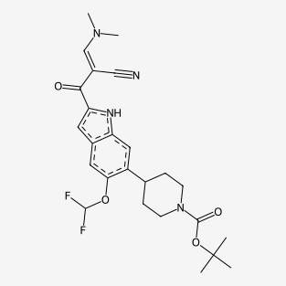 CN(C)C=C(C#N)C(=O)c1cc2cc(OC(F)F)c(C3CCN(C(=O)OC(C)(C)C)CC3)cc2[nH]1